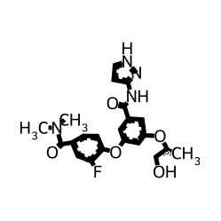 C[C@@H](CO)Oc1cc(Oc2ccc(C(=O)N(C)C)cc2F)cc(C(=O)Nc2cc[nH]n2)c1